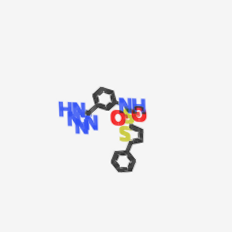 O=S(=O)(Nc1cccc(-c2nnn[nH]2)c1)c1ccc(-c2ccccc2)s1